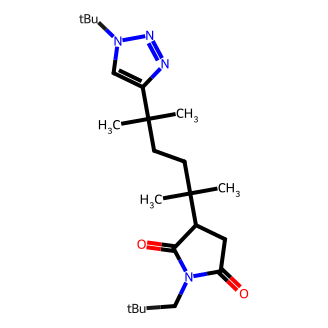 CC(C)(C)CN1C(=O)CC(C(C)(C)CCC(C)(C)c2cn(C(C)(C)C)nn2)C1=O